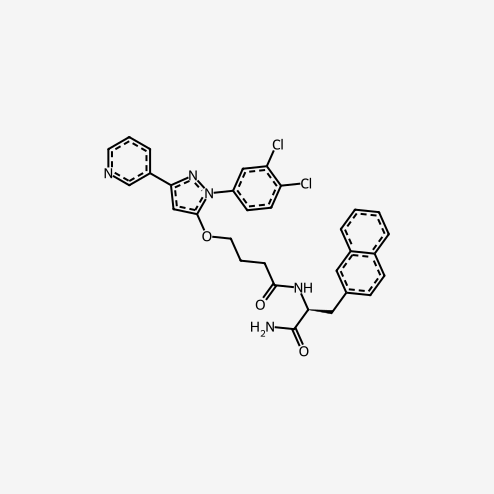 NC(=O)[C@H](Cc1ccc2ccccc2c1)NC(=O)CCCOc1cc(-c2cccnc2)nn1-c1ccc(Cl)c(Cl)c1